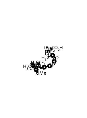 COc1ccc([C@]2(CCN(Cc3ccc(C4=CC[C@H](CN5CCN(C(=O)c6ccc7c(c6)n(C)c(=O)n7[C@H](CC(C(=O)O)C(C)(C)C)C(N)=O)CC5)CC4)cc3)CC(C)(C)C(F)(F)F)CCOC(C)(C)C2)cc1